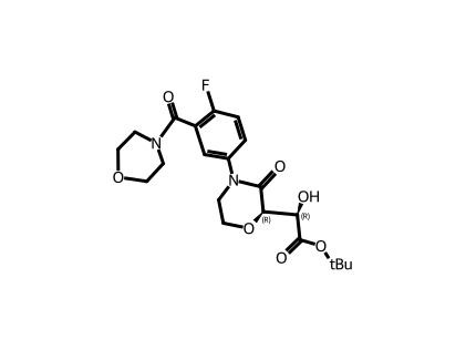 CC(C)(C)OC(=O)[C@H](O)[C@H]1OCCN(c2ccc(F)c(C(=O)N3CCOCC3)c2)C1=O